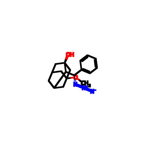 COC12CC3CC(C1)C([C@@H](N=[N+]=[N-])c1ccccc1)[C@](O)(C3)C2